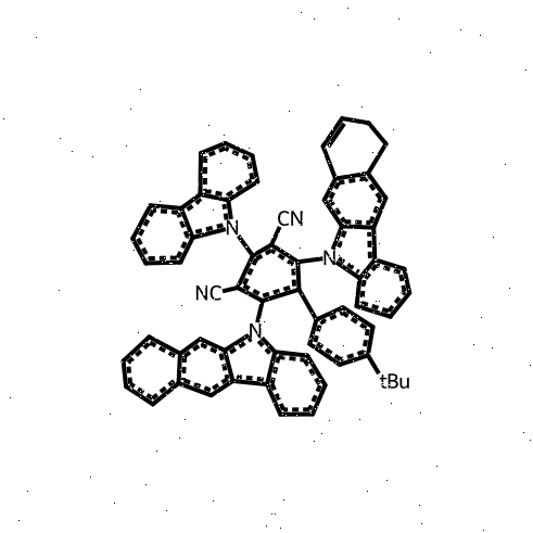 CC(C)(C)c1ccc(-c2c(-n3c4ccccc4c4cc5c(cc43)C=CCC5)c(C#N)c(-n3c4ccccc4c4ccccc43)c(C#N)c2-n2c3ccccc3c3cc4ccccc4cc32)cc1